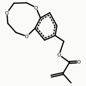 C=C(C)C(=O)OCc1ccc2c(c1)OCCOCCO2